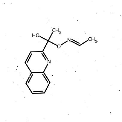 CC=NOC(C)(O)c1ccc2ccccc2n1